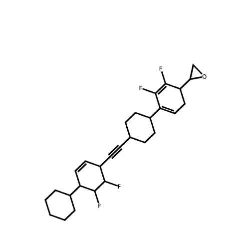 FC1=C(F)C(C2CO2)CC=C1C1CCC(C#CC2C=CC(C3CCCCC3)C(F)C2F)CC1